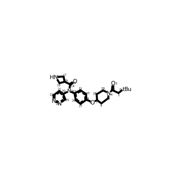 CC(C)(C)CC(=O)N1CCC(Oc2ccc(N(C(=O)C3CNC3)c3ccnnc3)cc2)CC1